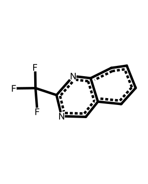 FC(F)(F)c1ncc2ccccc2n1